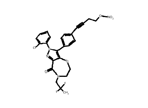 CC(F)(F)CN1CCOc2c(nn(-c3ccccc3Cl)c2-c2ccc(C#CCCO[N+](=O)[O-])cc2)C1=O